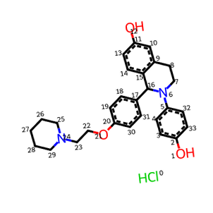 Cl.Oc1ccc(N2CCc3cc(O)ccc3C2c2ccc(OCCN3CCCCC3)cc2)cc1